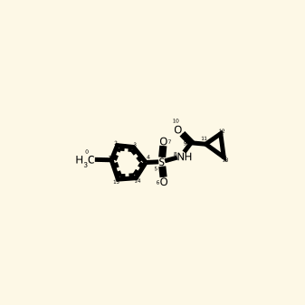 Cc1ccc(S(=O)(=O)NC(=O)C2CC2)cc1